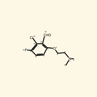 CN(C)CCOc1ccc(F)c(Cl)c1C=O